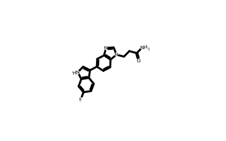 NC(=O)CCn1cnc2cc(-c3c[nH]c4cc(F)ccc34)ccc21